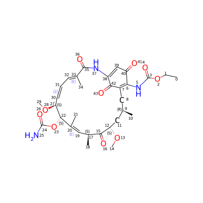 CCOC(=O)NC1=C2C[C@@H](C)C[C@H](OC)C(=O)[C@@H](C)/C=C(\C)[C@H](OC(N)=O)[C@@H](OC)/C=C\C=C(/C)C(=O)NC(=CC1=O)C2=O